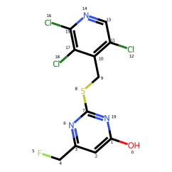 Oc1cc(CF)nc(SCc2c(Cl)cnc(Cl)c2Cl)n1